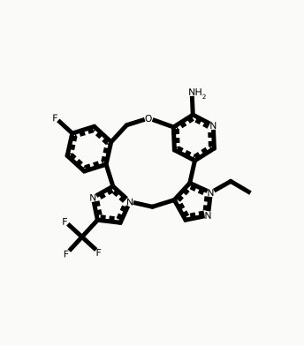 CCn1ncc2c1-c1cnc(N)c(c1)OCc1cc(F)ccc1-c1nc(C(F)(F)F)cn1C2